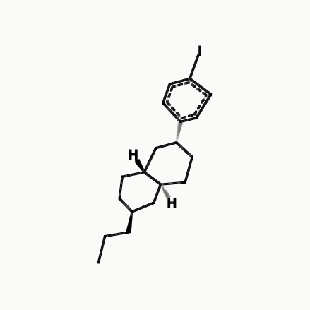 CCC[C@H]1CC[C@@H]2C[C@H](c3ccc(I)cc3)CC[C@H]2C1